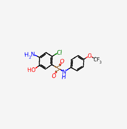 Nc1cc(Cl)c(S(=O)(=O)Nc2ccc(OC(F)(F)F)cc2)cc1O